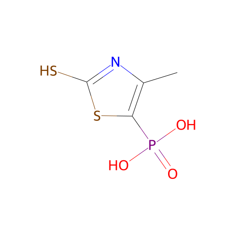 Cc1nc(S)sc1P(=O)(O)O